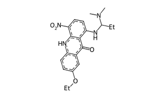 CCOc1ccc2[nH]c3c([N+](=O)[O-])ccc(NC(CC)N(C)C)c3c(=O)c2c1